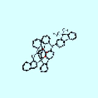 CC1(C)c2ccccc2-c2ccc(N(c3ccc4c(c3)C3(c5ccccc5-4)c4ccc5ccccc5c4Oc4c3ccc3ccccc43)c3ccccc3-c3ccccc3)cc21